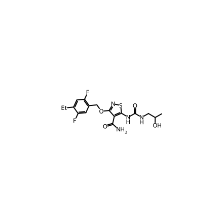 CCc1cc(F)c(COc2nsc(NC(=O)NCC(C)O)c2C(N)=O)cc1F